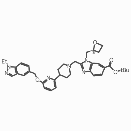 CCn1ncc2cc(COc3cccc(C4CCN(Cc5nc6ccc(C(=O)OC(C)(C)C)cc6n5C[C@@H]5CCO5)CC4)n3)ccc21